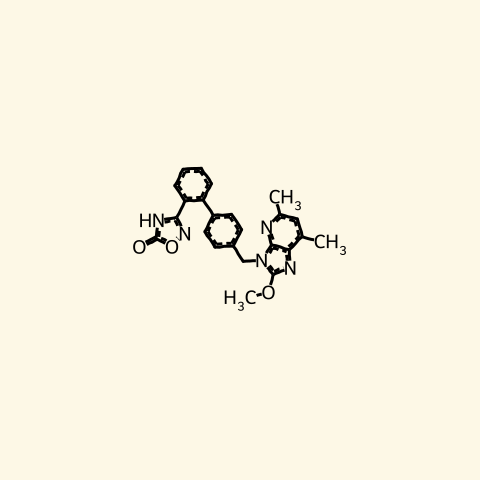 COc1nc2c(C)cc(C)nc2n1Cc1ccc(-c2ccccc2-c2noc(=O)[nH]2)cc1